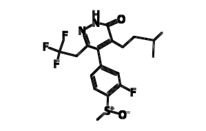 CC(C)CCc1c(-c2ccc([S+](C)[O-])c(F)c2)c(CC(F)(F)F)n[nH]c1=O